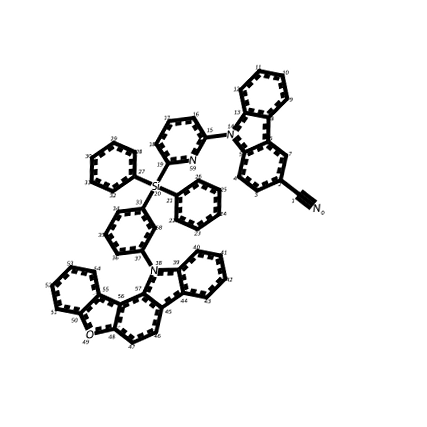 N#Cc1ccc2c(c1)c1ccccc1n2-c1cccc([Si](c2ccccc2)(c2ccccc2)c2cccc(-n3c4ccccc4c4ccc5oc6ccccc6c5c43)c2)n1